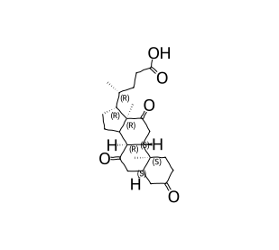 C[C@H](CCC(=O)O)[C@H]1CCC2[C@@H]3C(=O)C[C@@H]4CC(=O)CC[C@]4(C)[C@H]3CC(=O)[C@@]21C